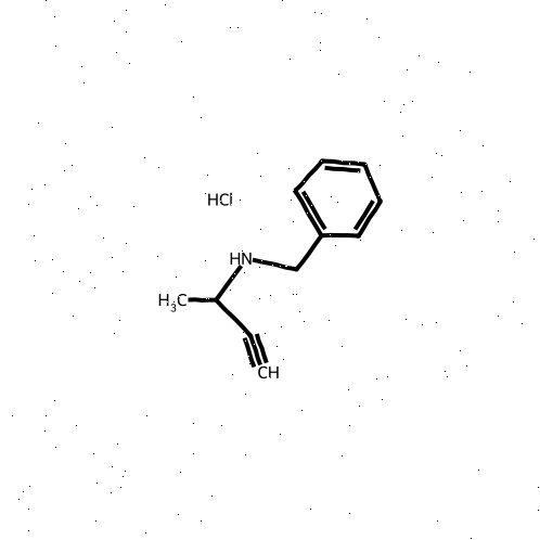 C#CC(C)NCc1ccccc1.Cl